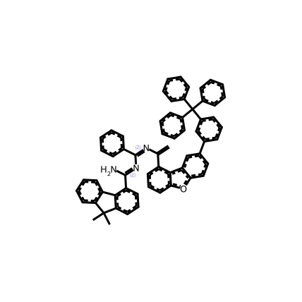 C=C(/N=C(\N=C(/N)c1cccc2c1-c1ccccc1C2(C)C)c1ccccc1)c1cccc2oc3ccc(-c4cccc(C(c5ccccc5)(c5ccccc5)c5ccccc5)c4)cc3c12